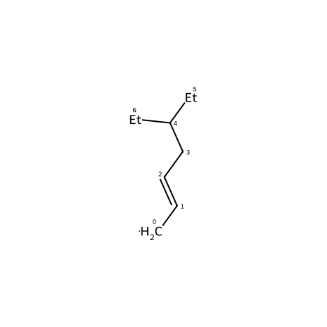 [CH2]C=CCC(CC)CC